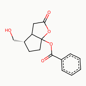 O=C1CC2[C@@H](CO)CCC2(OC(=O)c2ccccc2)O1